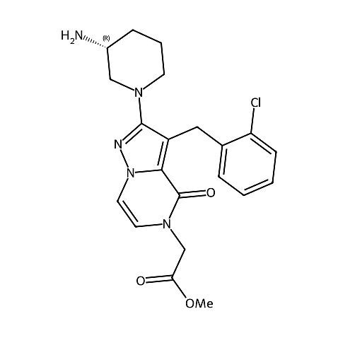 COC(=O)Cn1ccn2nc(N3CCC[C@@H](N)C3)c(Cc3ccccc3Cl)c2c1=O